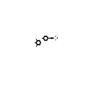 Cc1c(Oc2ccc(C#C[Si](C)(C)C)cc2)cc(C(=O)O)c(C)c1C(=O)O